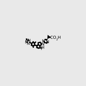 Cc1cc(-c2nnn(C)n2)cc(C)c1-c1ccc(F)c2c1CCC2Nc1cnc([C@@H]2C[C@H]2C(=O)O)cn1